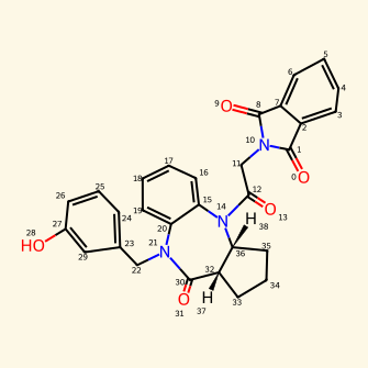 O=C1c2ccccc2C(=O)N1CC(=O)N1c2ccccc2N(Cc2cccc(O)c2)C(=O)[C@H]2CCC[C@H]21